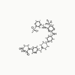 CS(=O)(=O)c1cccc(CNc2nc(Nc3ccc(C4CCN(Cc5ccc(N6CCC(=O)NC6=O)cn5)CC4)cc3)ncc2C(F)(F)F)c1